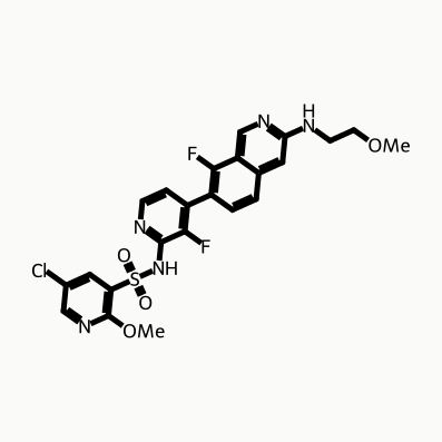 COCCNc1cc2ccc(-c3ccnc(NS(=O)(=O)c4cc(Cl)cnc4OC)c3F)c(F)c2cn1